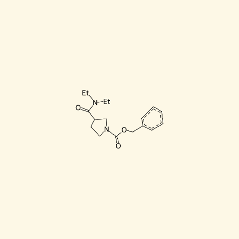 CCN(CC)C(=O)C1CCN(C(=O)OCc2ccccc2)C1